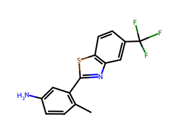 Cc1ccc(N)cc1-c1nc2cc(C(F)(F)F)ccc2s1